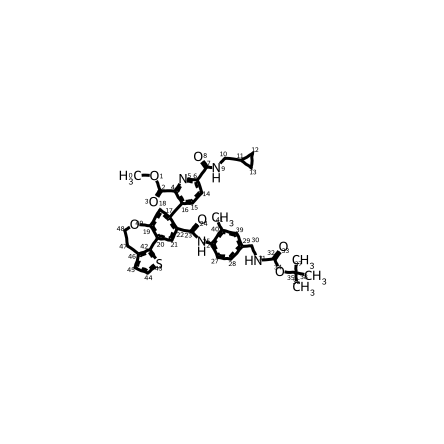 COC(=O)c1nc(C(=O)NCC2CC2)ccc1-c1cc2c(cc1C(=O)Nc1ccc(CNC(=O)OC(C)(C)C)cc1C)-c1sccc1CCO2